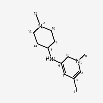 CN1C=C(I)C=C(NC2CCN(C)CC2)C1